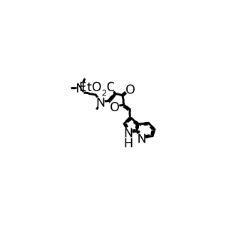 CCOC(=O)C1=C(N(C)CCN(C)C)O/C(=C\c2c[nH]c3ncccc23)C1=O